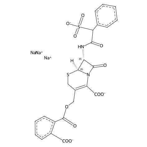 O=C([O-])C1=C(COC(=O)c2ccccc2C(=O)[O-])CS[C@H]2[C@H](NC(=O)C(c3ccccc3)S(=O)(=O)[O-])C(=O)N12.[Na+].[Na+].[Na+]